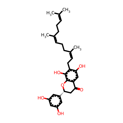 CC(C)=CCCC(C)=CCCC(C)=CCc1c(O)cc2c(c1O)O[C@@H](c1cc(O)cc(O)c1)CC2=O